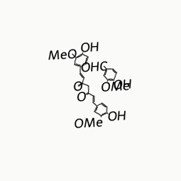 COc1cc(C=CC(=O)CC(=O)C=Cc2ccc(O)c(OC)c2)ccc1O.COc1cc(C=O)ccc1O